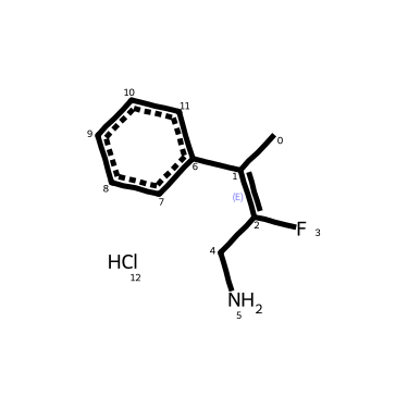 C/C(=C(\F)CN)c1ccccc1.Cl